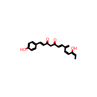 C=C(/C=C\C(O)=C/C)/C=C/C(=O)CC(=O)/C=C/c1ccc(O)cc1